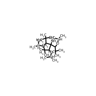 C[SiH](C)OC(C(C)(C)C)C(N)(C(O[SiH](C)C)C(C)(C)C)C(O[SiH](C)C)C(C)(C)C